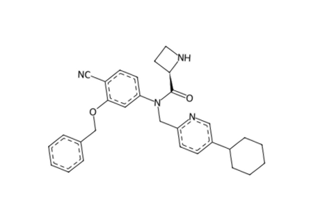 N#Cc1ccc(N(Cc2ccc(C3CCCCC3)cn2)C(=O)[C@H]2CCN2)cc1OCc1ccccc1